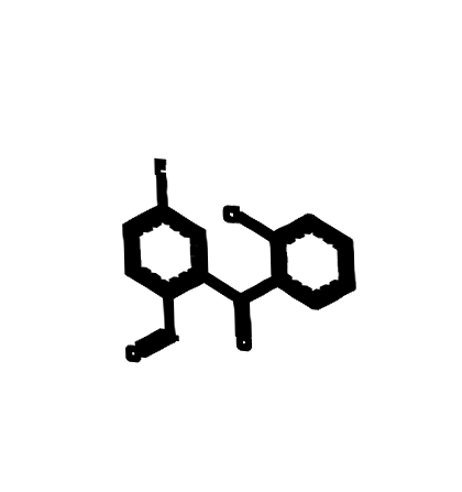 O=[C]c1ccc(F)cc1C(=O)c1ccccc1Cl